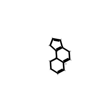 [CH]1C=CC2=C1C1CCC=CC1=CC2